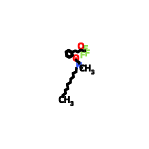 CCCCCCCCCCCCN(C)CCOc1ccccc1CCC(=O)C(F)(F)F